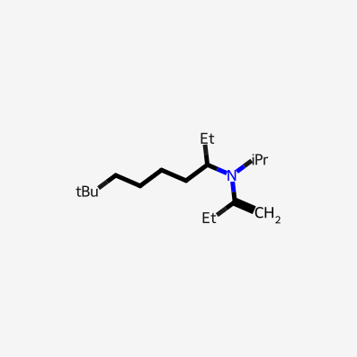 C=C(CC)N(C(C)C)C(CC)CCCCC(C)(C)C